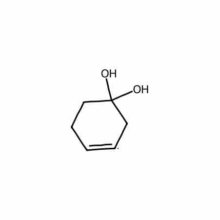 OC1(O)C[C]=CCC1